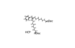 CCCCCCCCCCCCCCCCCCN(CCCCCCCCCCCCCCCCCC)Cc1ccccc1.Cl